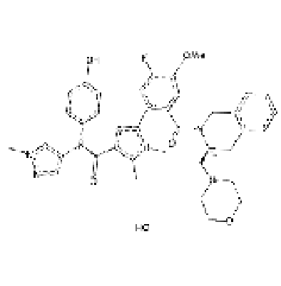 COc1cc(C(=O)N2Cc3ccccc3C[C@H]2CN2CCOCC2)c(-c2cc(C(=O)N(c3ccc(O)cc3)c3cnn(C)c3)c(C)n2C)cc1F.Cl